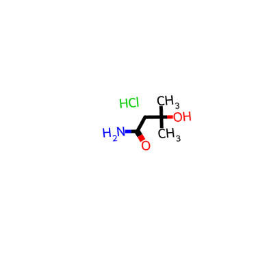 CC(C)(O)CC(N)=O.Cl